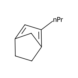 CCCC1=C2CCC(=C1)C2